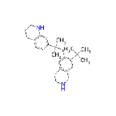 CC(C)(C)c1cc2c(cc1CC(C)(C)c1ccc3c(c1)NCCC3)CCNC2